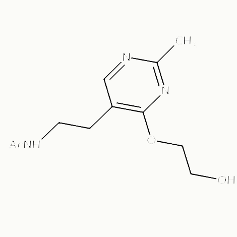 CC(=O)NCCc1cnc(C)nc1OCCO